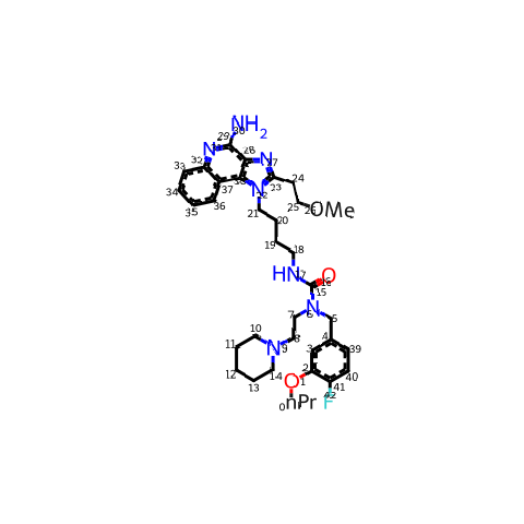 CCCOc1cc(CN(CCN2CCCCC2)C(=O)NCCCCn2c(CCOC)nc3c(N)nc4ccccc4c32)ccc1F